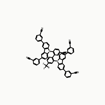 N#Cc1cccc(-c2ccc3c(c2)c2cc(-c4cccc(C#N)c4)ccc2n3-c2ccc(C#N)cc2-c2ccc(C(F)(F)F)cc2-n2c3ccc(-c4cccc(C#N)c4)cc3c3cc(-c4cccc(C#N)c4)ccc32)c1